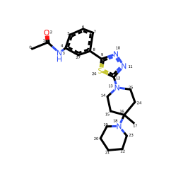 CC(=O)Nc1cccc(-c2nnc(N3CCC(C)(N4CCCCC4)CC3)s2)c1